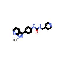 Cn1nc(-c2ccc(NC(=O)NCc3ccncc3)cc2)c2cccnc21